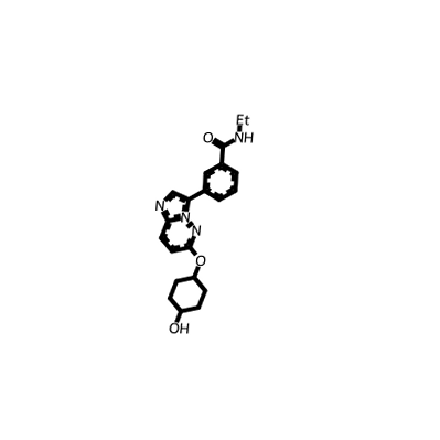 CCNC(=O)c1cccc(-c2cnc3ccc(OC4CCC(O)CC4)nn23)c1